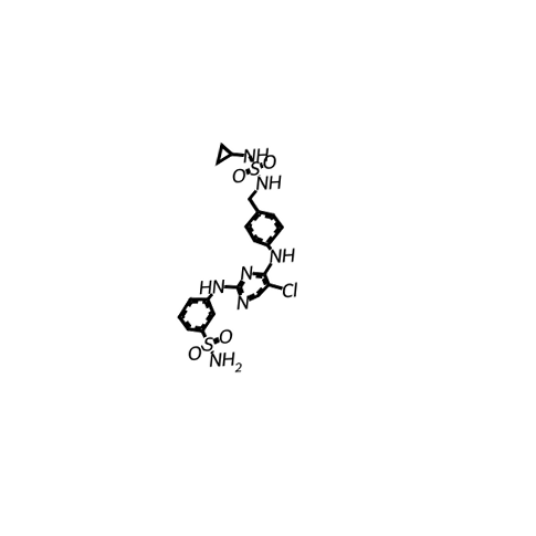 NS(=O)(=O)c1cccc(Nc2ncc(Cl)c(Nc3ccc(CNS(=O)(=O)NC4CC4)cc3)n2)c1